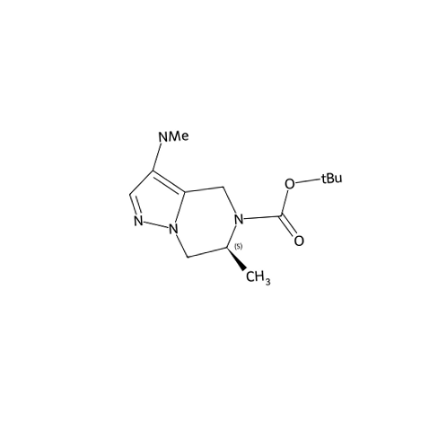 CNc1cnn2c1CN(C(=O)OC(C)(C)C)[C@@H](C)C2